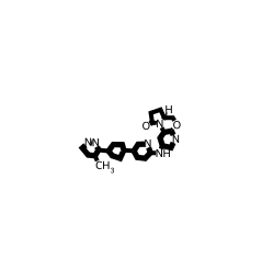 Cc1ccnnc1-c1ccc(-c2ccc(Nc3cnc4c(c3)N3C(=O)CC[C@H]3CO4)nc2)cc1